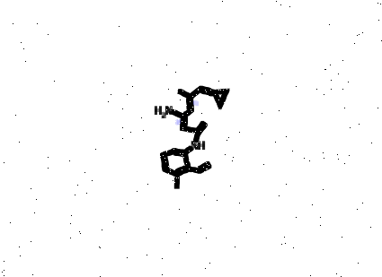 C=Cc1c(C)cccc1NC(=C)/C=C(N)\C=C(/C)C=C1CC1